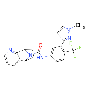 Cn1ccc(-c2cc(NC(=O)N3C4CCC3c3ncccc34)ccc2C(F)(F)F)n1